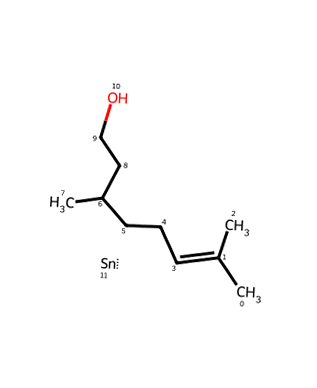 CC(C)=CCCC(C)CCO.[Sn]